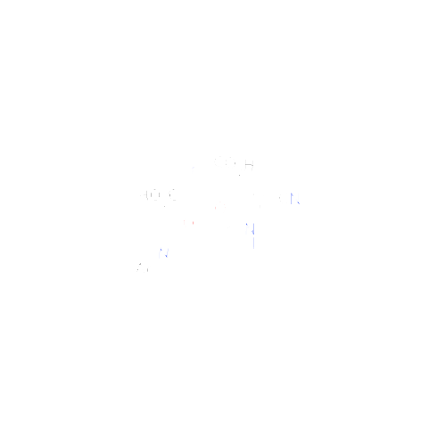 CC(=O)N1CCOc2c(C(=O)NC3CN4CCC3CC4)cccc21.O=C(O)/C=C/C(=O)O